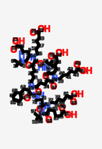 CC(C)(C)NC(=O)C(CCCC(=O)O)N(CCCCCC(=O)O)C(=O)CCCCCN(C(=O)CCCC(=O)N(CCCCCC(=O)O)C(CCCC(=O)O)C(=O)NC(C)(C)C)C(Cc1ccccc1)C(=O)NCCC(=O)N(CCCCCC(=O)O)C(CCCC(=O)O)C(=O)NC(C)(C)C